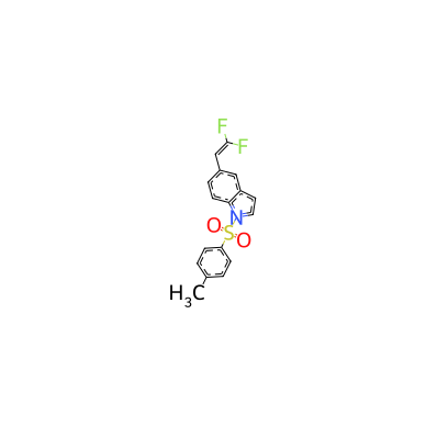 Cc1ccc(S(=O)(=O)n2ccc3cc(C=C(F)F)ccc32)cc1